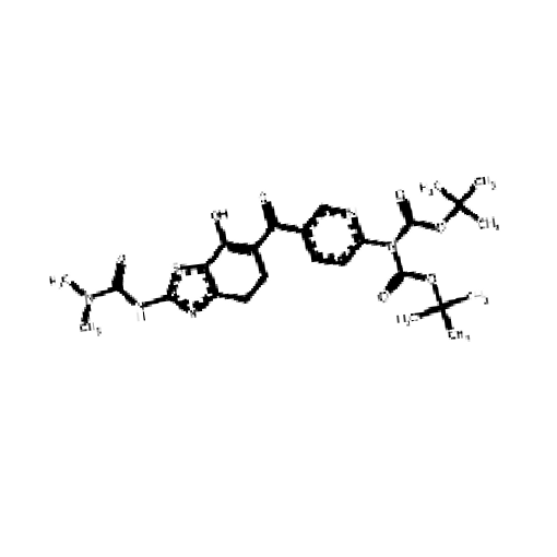 CN(C)C(=O)Nc1nc2c(s1)C(O)=C(C(=O)c1ccc(N(C(=O)OC(C)(C)C)C(=O)OC(C)(C)C)nc1)CC2